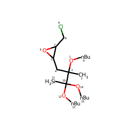 CCCCOC(C)(CC1OC1CCl)C([SiH3])(OCCCC)OCCCC